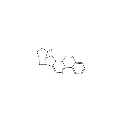 c1ccc2c(c1)ccc1c3c(cnc12)C1CC2CCC4CC3C241